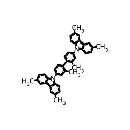 Cc1ccc2c(c1)c1cc(C)ccc1n2-c1ccc(-c2ccc(-n3c4ccc(C)cc4c4cc(C)ccc43)cc2C)c(C)c1